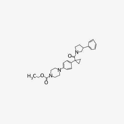 CCOC(=O)N1CCN(c2ccc(C3(C(=O)N4CCC(c5ccccc5)C4)CC3)cc2)CC1